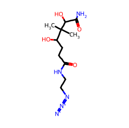 CC(C)(C(O)CCC(=O)NCCN=[N+]=[N-])C(O)C(N)=O